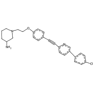 NC1CCCN(CCOc2ccc(C#Cc3ccc(-c4ccc(Cl)cc4)cn3)cc2)C1